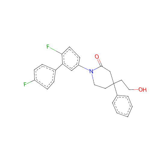 O=C1CC(CCO)(c2ccccc2)CCN1c1ccc(F)c(-c2ccc(F)cc2)c1